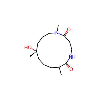 CC1CCC[C@](C)(O)CCCN(C)C(=O)CCNC1=O